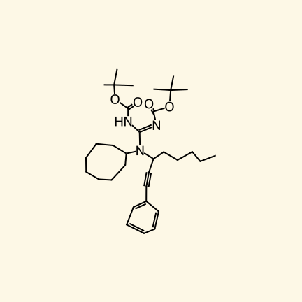 CCCCCC(C#Cc1ccccc1)N(/C(=N/C(=O)OC(C)(C)C)NC(=O)OC(C)(C)C)C1CCCCCCC1